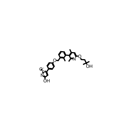 Cc1cc(OCCC(C)(C)O)nc(C)c1-c1cccc(COc2ccc(-c3cc(O)n[s+]3[O-])cc2)c1C